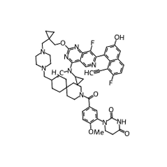 C#Cc1c(F)ccc2cc(O)cc(-c3ncc4c(N(C)C5CC5)nc(OCC5(CN6CCN(CC7CCC8(CC7)CCN(C(=O)c7ccc(OC)c(N9CCC(=O)NC9=O)c7)CC8)CC6)CC5)nc4c3F)c12